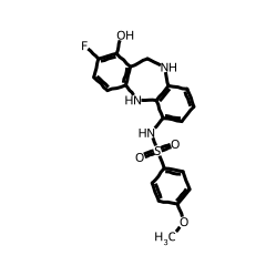 COc1ccc(S(=O)(=O)Nc2cccc3c2Nc2ccc(F)c(O)c2CN3)cc1